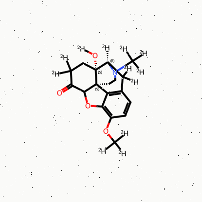 [2H]O[C@@]12CC([2H])([2H])C(=O)C3Oc4c(OC([2H])([2H])[2H])ccc5c4[C@@]31CCN(C([2H])([2H])[2H])[C@]2([2H])C5([2H])[2H]